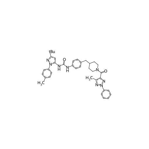 Cc1ccc(-n2nc(C(C)(C)C)cc2NC(=O)Nc2ccc(CC3CCN(C(=O)c4nn(-c5ccccc5)nc4C)CC3)cc2)cc1